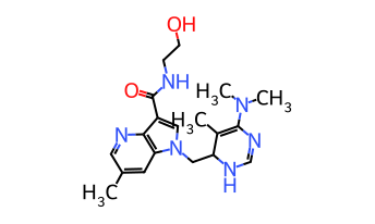 CC1=C(N(C)C)N=CNC1Cn1cc(C(=O)NCCO)c2ncc(C)cc21